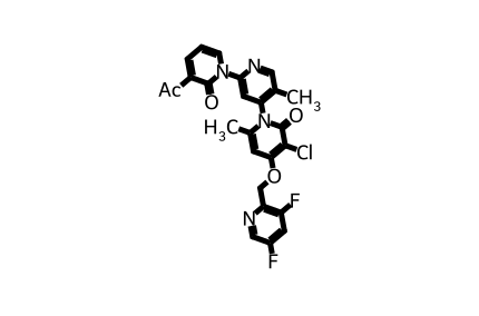 CC(=O)c1cccn(-c2cc(-n3c(C)cc(OCc4ncc(F)cc4F)c(Cl)c3=O)c(C)cn2)c1=O